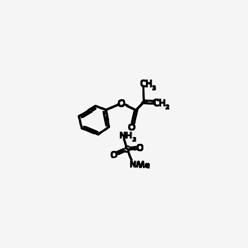 C=C(C)C(=O)Oc1ccccc1.CNS(N)(=O)=O